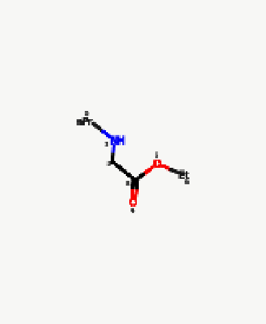 CCCNCC(=O)OCC